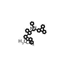 CC1(C)c2cccc(-c3ccc(-c4cc(-c5ccc6c7ccccc7c7ccccc7c6c5)nc(-c5ccccc5)n4)c4ccccc34)c2-c2ccc3ccccc3c21